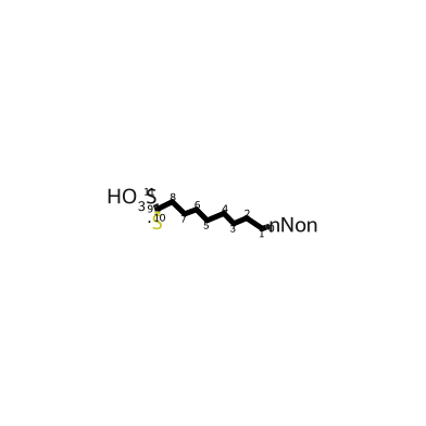 CCCCCCCCCCCCCCCCCC([S])S(=O)(=O)O